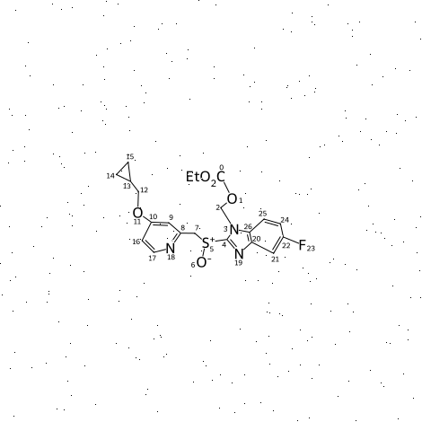 CCOC(=O)OCn1c([S+]([O-])Cc2cc(OCC3CC3)ccn2)nc2cc(F)ccc21